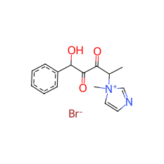 CC(C(=O)C(=O)C(O)c1ccccc1)[N+]1(C)C=CN=C1.[Br-]